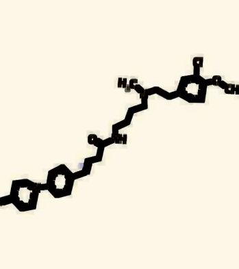 COc1ccc(CCN(C)CCCCNC(=O)C/C=C/c2ccc(-n3ccc(=O)cc3)cc2)cc1Cl